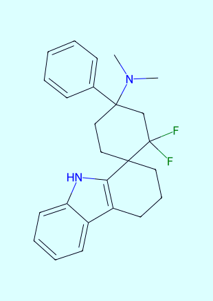 CN(C)C1(c2ccccc2)CCC2(CCCc3c2[nH]c2ccccc32)C(F)(F)C1